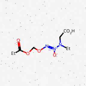 CCC(=O)OCO/N=[N+](\[O-])N(CC)CC(=O)O